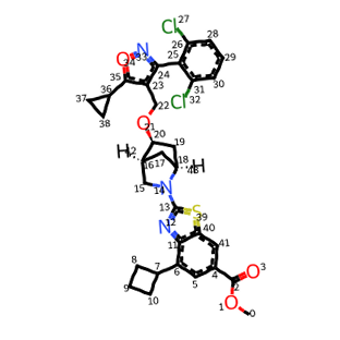 COC(=O)c1cc(C2CCC2)c2nc(N3C[C@@H]4C[C@H]3C[C@@H]4OCc3c(-c4c(Cl)cccc4Cl)noc3C3CC3)sc2c1